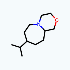 CC(C)C1CCC2COCCN2CC1